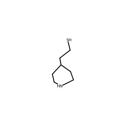 SCCC1CCNCC1